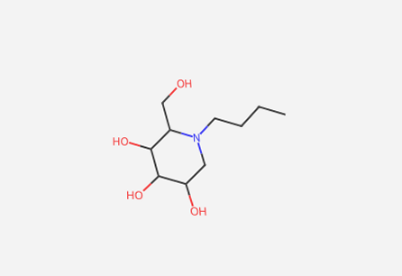 CCCCN1CC(O)C(O)C(O)C1CO